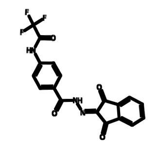 O=C(NN=c1c(=O)c2ccccc2c1=O)c1ccc(NC(=O)C(F)(F)F)cc1